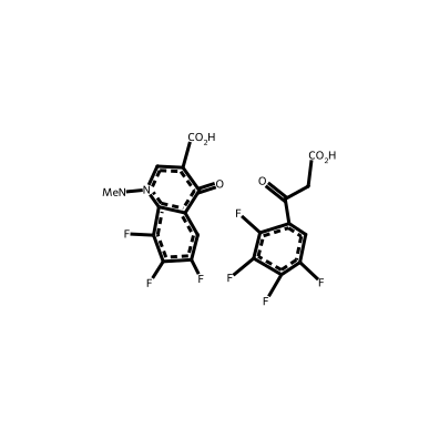 CNn1cc(C(=O)O)c(=O)c2cc(F)c(F)c(F)c21.O=C(O)CC(=O)c1cc(F)c(F)c(F)c1F